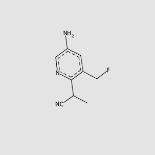 CC(C#N)c1ncc(N)cc1CF